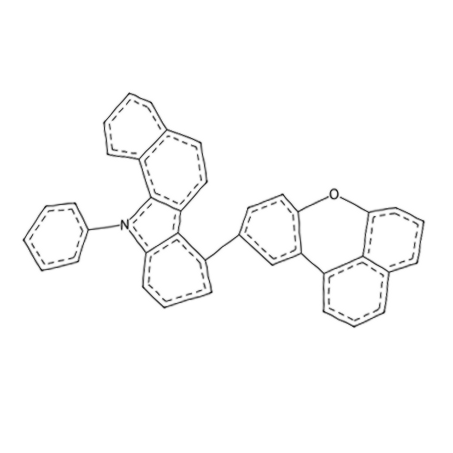 c1ccc(-n2c3cccc(-c4ccc5c(c4)-c4cccc6cccc(c46)O5)c3c3ccc4ccccc4c32)cc1